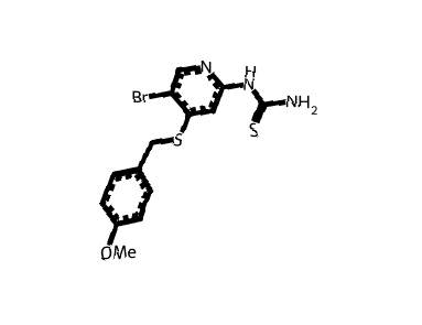 COc1ccc(CSc2cc(NC(N)=S)ncc2Br)cc1